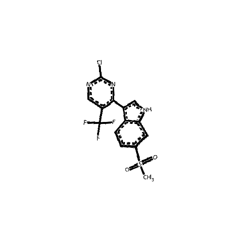 CS(=O)(=O)c1ccc2c(-c3nc(Cl)ncc3C(F)(F)F)c[nH]c2c1